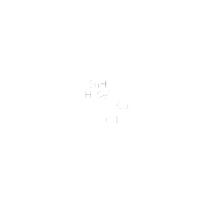 [Cd].[Cu].[SeH2].[SnH2]